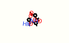 CNC(=O)c1ccccc1NC(C)c1cc(C)cc2c(=O)c(C)c(-c3cccc(C(=O)OC)c3)oc12